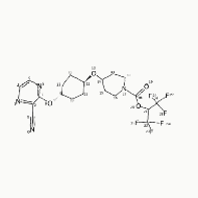 N#Cc1nccnc1O[C@H]1CC[C@H](OC2CCN(C(=O)OC(C(F)(F)F)C(F)(F)F)CC2)CC1